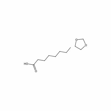 C1COCO1.CCCCCCCC(=O)O